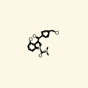 CN(C)C(=O)n1cc(C(=O)c2ccc(CCl)cc2)c2c(Cl)cccc21